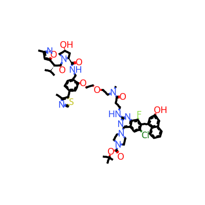 Cc1cc([C@H](C(=O)N2C[C@H](O)C[C@H]2C(=O)NCc2ccc(-c3scnc3C)cc2OCCOCCN(C)C(=O)CCNc2nc(N3CCN(C(=O)OC(C)(C)C)CC3)c3cc(Cl)c(-c4cc(O)cc5ccccc45)c(F)c3n2)C(C)C)on1